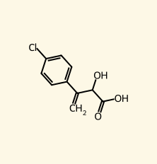 C=C(c1ccc(Cl)cc1)C(O)C(=O)O